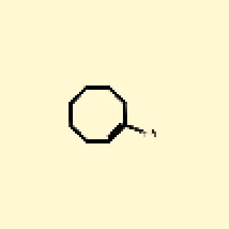 C[CH]C/C1=C/CCCCCC1